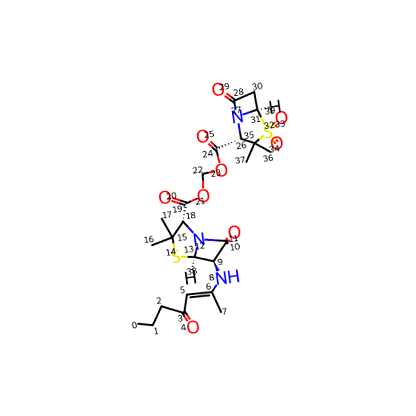 CCCC(=O)C=C(C)N[C@@H]1C(=O)N2[C@@H]1SC(C)(C)[C@@H]2C(=O)OCOC(=O)[C@@H]1N2C(=O)C[C@H]2S(=O)(=O)C1(C)C